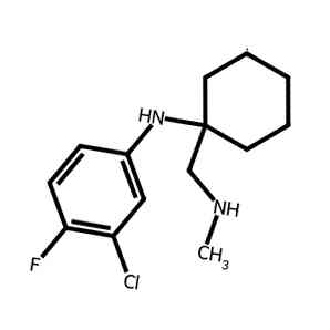 CNCC1(Nc2ccc(F)c(Cl)c2)C[CH]CCC1